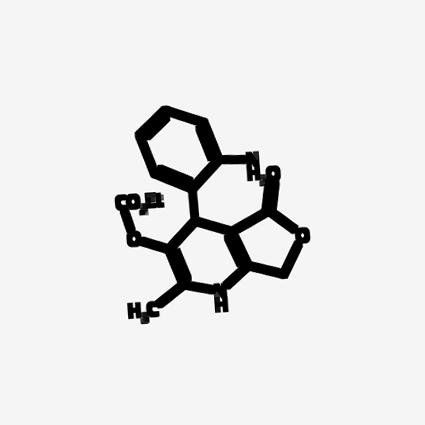 CCOC(=O)OC1=C(C)NC2=C(C(=O)OC2)C1c1ccccc1N